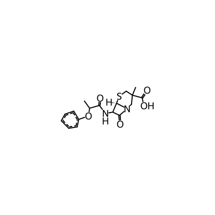 CC(Oc1ccccc1)C(=O)NC1C(=O)N2CC(C)(C(=O)O)CS[C@H]12